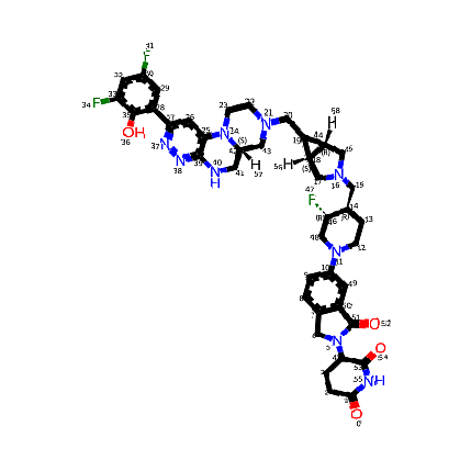 O=C1CCC(N2Cc3ccc(N4CC[C@H](CN5C[C@@H]6C(CN7CCN8c9cc(-c%10cc(F)cc(F)c%10O)nnc9NC[C@H]8C7)[C@@H]6C5)[C@@H](F)C4)cc3C2=O)C(=O)N1